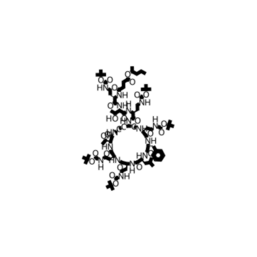 CCCC(C)OC(=O)CCC(=O)N[C@@H](CCNC(=O)OC(C)(C)C)C(=O)N[C@H](C(=O)N[C@@H](CCNC(=O)OC(C)(C)C)C(=O)N[C@H]1CCNC(=O)[C@H](C(C)O)NC(=O)[C@H](CCNC(=O)OC(C)(C)C)NC(=O)[C@H](CCNC(=O)OC(C)(C)C)NC(=O)[C@H](CC(C)C)NC(=O)[C@@H](Cc2ccccc2)NC(=O)[C@H](CCNC(=O)OC(C)(C)C)NC1)C(C)O